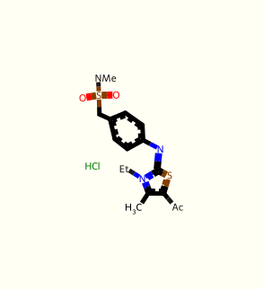 CCn1c(C)c(C(C)=O)s/c1=N/c1ccc(CS(=O)(=O)NC)cc1.Cl